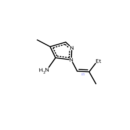 CC/C(C)=C\n1ncc(C)c1N